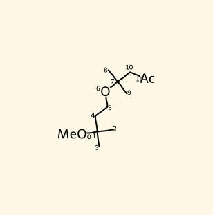 COC(C)(C)CCOC(C)(C)CC(C)=O